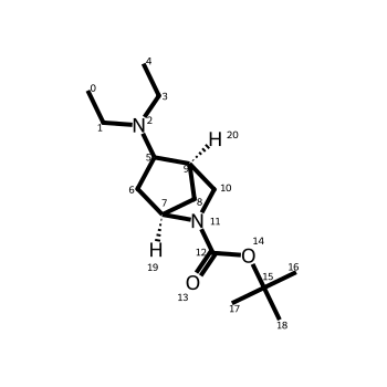 CCN(CC)C1C[C@H]2C[C@@H]1CN2C(=O)OC(C)(C)C